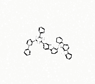 C1=Cc2c(n(-c3cccc4c3oc3cc(-c5nc(-c6ccccc6)nc(-c6cccc(-c7ccccc7)c6)n5)ccc34)c3c2ccc2c4ccccc4oc23)CC1